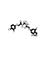 C=C(NC(=O)COc1ccc(Cl)c(F)c1)NC(=O)COc1cc(F)c2cn[nH]c2c1